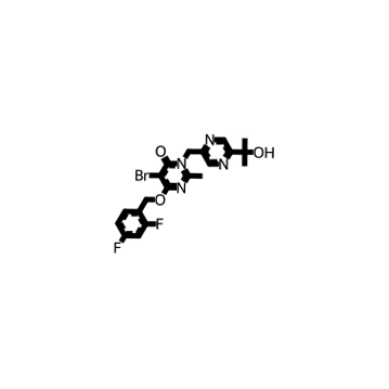 Cc1nc(OCc2ccc(F)cc2F)c(Br)c(=O)n1Cc1cnc(C(C)(C)O)cn1